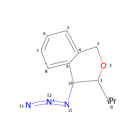 CC(C)C1OCc2ccccc2C1N=[N+]=[N-]